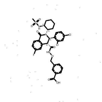 CS(=O)(=O)N[C@H]1CCCC[C@@H]1N1C(=O)c2ccc(F)cc2[C@@H](C(=O)NOCc2cccc(C(=O)O)c2)[C@@H]1c1ccc(Cl)cc1Cl